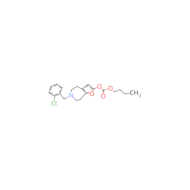 CCCCOC(=O)Oc1cc2c(o1)CCN(Cc1ccccc1Cl)CC2